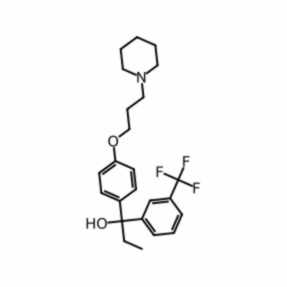 CCC(O)(c1ccc(OCCCN2CCCCC2)cc1)c1cccc(C(F)(F)F)c1